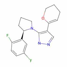 Fc1ccc(F)c([C@H]2CCCN2C2=C(C3=CCCCO3)C=N[N]2)c1